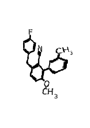 COc1ccc(Cc2ccc(F)cc2)c(C#N)c1-c1cccc(C)c1